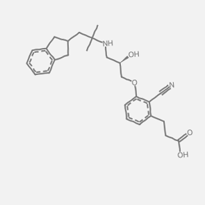 CC(C)(CC1Cc2ccccc2C1)NC[C@@H](O)COc1cccc(CCC(=O)O)c1C#N